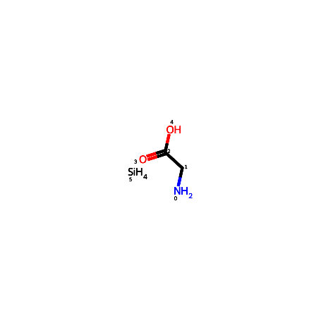 NCC(=O)O.[SiH4]